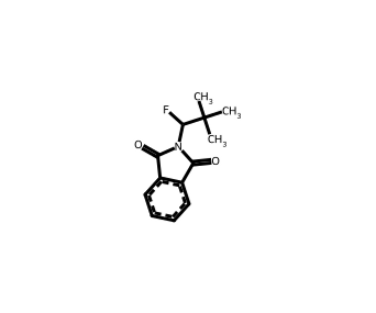 CC(C)(C)C(F)N1C(=O)c2ccccc2C1=O